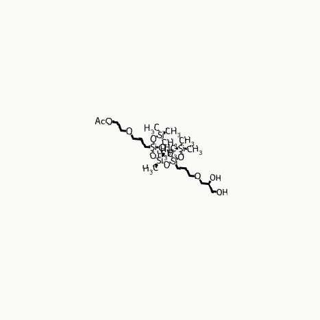 CC(=O)OCCOCCC[Si](C)(O[Si](C)(C)C)O[Si](C)(C)O[Si](C)(CCCOCC(O)CO)O[Si](C)(C)C